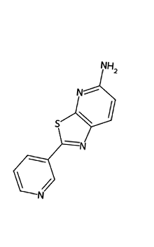 Nc1ccc2nc(-c3cccnc3)sc2n1